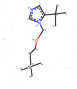 CC(C)(C)c1cncn1COCC[Si](C)(C)C